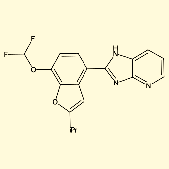 CC(C)c1cc2c(-c3nc4ncccc4[nH]3)ccc(OC(F)F)c2o1